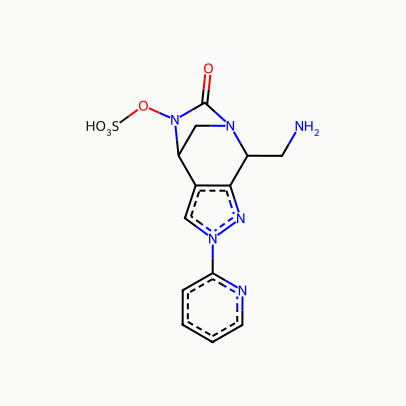 NCC1c2nn(-c3ccccn3)cc2C2CN1C(=O)N2OS(=O)(=O)O